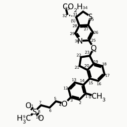 Cc1cc(OCCCS(C)(=O)=O)ccc1-c1cccc2c1CCC2Oc1cc2c(cn1)[C@H](CC(=O)O)CS2